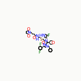 O=C(CCCN1C(=O)C=CC1=O)NCCSCC(=O)N(C[C@@H]1CNC[C@@H]1F)[C@@H](c1nc(-c2cc(F)ccc2F)cn1Cc1ccccc1)C1CCOCC1